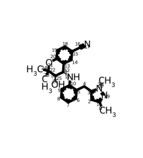 Cc1cc(Cc2ccccc2N[C@H]2c3cc(C#N)ccc3OC(C)(C)[C@@H]2O)n(C)n1